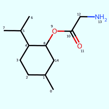 CC1CCC(C(C)C)C(OC(=O)CN)C1